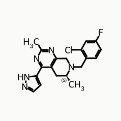 Cc1nc2c(c(-c3ccn[nH]3)n1)C[C@H](C)N(Cc1ccc(F)cc1Cl)C2